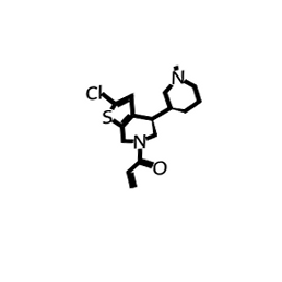 C=CC(=O)N1Cc2sc(Cl)cc2[C@@H]([C@@H]2CCCN(C)C2)C1